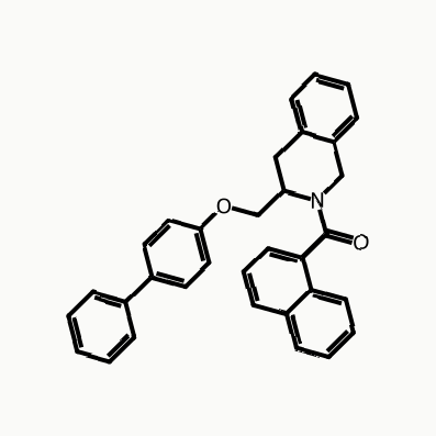 O=C(c1cccc2ccccc12)N1Cc2ccccc2CC1COc1ccc(-c2ccccc2)cc1